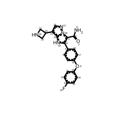 NC(=O)c1c(-c2ccc(Oc3ccc(F)cc3)cc2)[nH]c2c(C3CNC3)cnn12